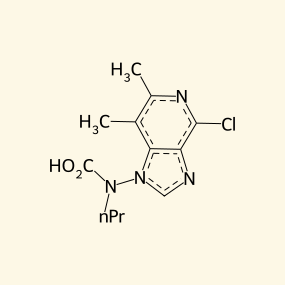 CCCN(C(=O)O)n1cnc2c(Cl)nc(C)c(C)c21